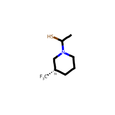 CC(S)N1CCC[C@H](C(F)(F)F)C1